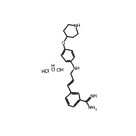 Cl.Cl.Cl.N=C(N)c1cccc(/C=C/CNc2ccc(OC3CCNCC3)cc2)c1